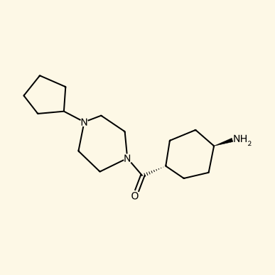 N[C@H]1CC[C@H](C(=O)N2CCN(C3CCCC3)CC2)CC1